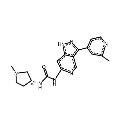 Cc1cc(-c2n[nH]c3cc(NC(=O)N[C@@H]4CCN(C)C4)ncc23)ccn1